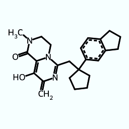 C=C1N=C(CC2(c3ccc4c(c3)CCC4)CCCC2)N2CCN(C)C(=O)C2=C1O